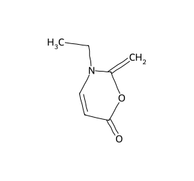 C=C1OC(=O)C=CN1CC